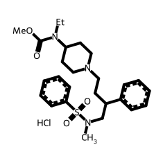 CCN(C(=O)OC)C1CCN(CCC(CN(C)S(=O)(=O)c2ccccc2)c2ccccc2)CC1.Cl